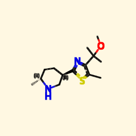 COC(C)(C)c1nc([C@@H]2CC[C@@H](C)NC2)sc1C